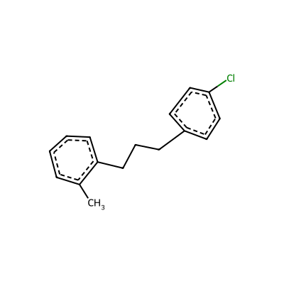 Cc1ccccc1CCCc1ccc(Cl)cc1